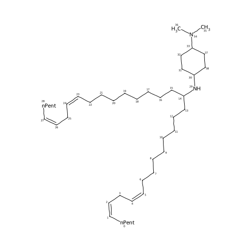 CCCCC/C=C\C/C=C\CCCCCCCCC(CCCCCCCC/C=C\C/C=C\CCCCC)NC1CCC(N(C)C)CC1